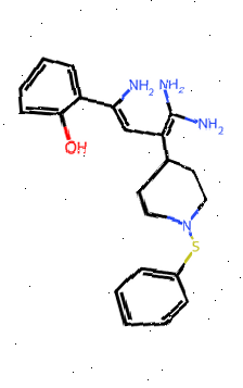 NC(N)=C(/C=C(\N)c1ccccc1O)C1CCN(Sc2ccccc2)CC1